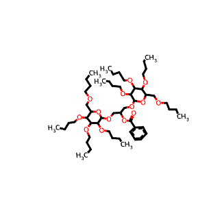 CCCCOCC1OC(OCC(COC2OC(COCCCC)C(OCCCC)C(OCCCC)C2OCCCC)OC(=O)c2ccccc2)C(OCCCC)C(OCCCC)C1OCCCC